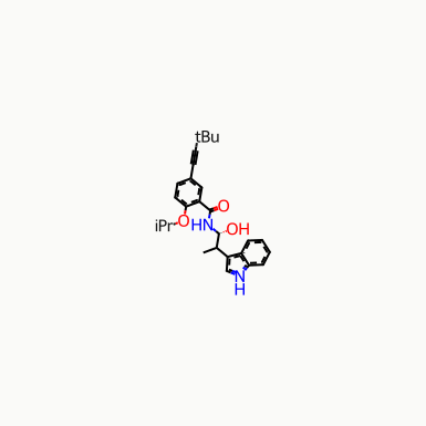 CC(C)Oc1ccc(C#CC(C)(C)C)cc1C(=O)N[C@H](O)C(C)c1c[nH]c2ccccc12